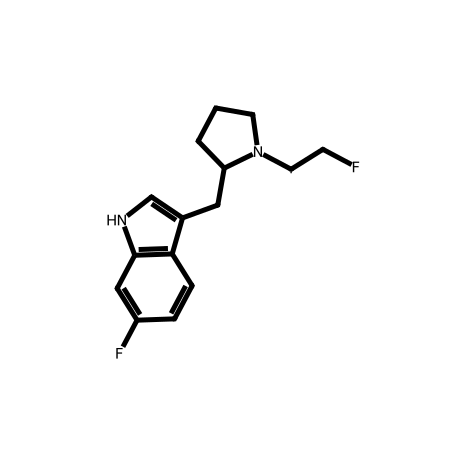 FC[CH]N1CCCC1Cc1c[nH]c2cc(F)ccc12